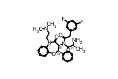 C[C@H](N)C(=O)N(C(=O)Cc1cc(F)cc(F)c1)[C@@H]1C(=O)N(CCN(C)C)c2ccccc2O[C@@H]1c1ccccc1